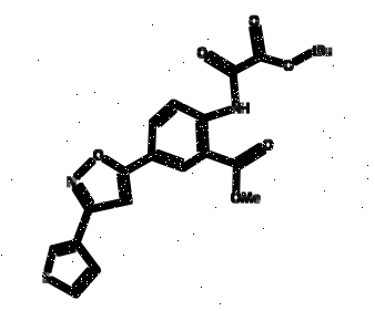 COC(=O)c1cc(-c2cc(-c3ccsc3)no2)ccc1NC(=O)C(=O)OC(C)(C)C